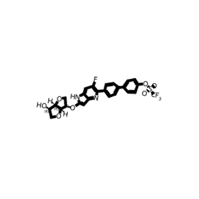 O=S(=O)(Oc1ccc(-c2ccc(-c3nc4cc(O[C@@H]5CO[C@H]6[C@@H]5OC[C@H]6O)[nH]c4cc3F)cc2)cc1)C(F)(F)F